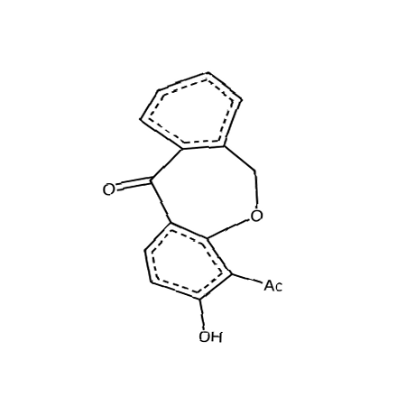 CC(=O)c1c(O)ccc2c1OCc1ccccc1C2=O